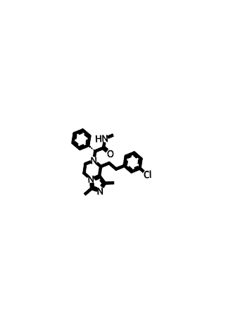 CNC(=O)[C@@H](c1ccccc1)N1CCn2c(C)nc(C)c2C1CCc1cccc(Cl)c1